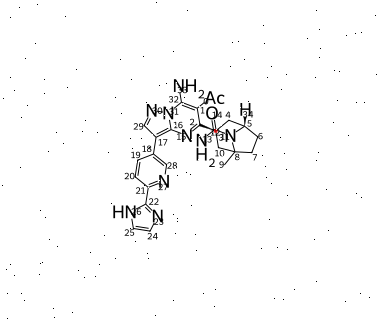 CC(=O)c1c([C@H]2C[C@@H]3CCC(C)(C2)N3C(N)=O)nc2c(-c3ccc(-c4ncc[nH]4)nc3)cnn2c1N